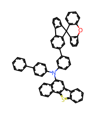 c1ccc(-c2ccc(N(c3cccc(-c4ccc5c(c4)C4(c6ccccc6Oc6ccccc64)c4ccccc4-5)c3)c3cc4c5ccccc5sc4c4ccccc34)cc2)cc1